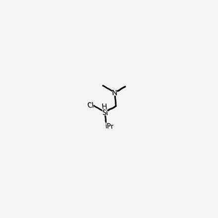 CC(C)[SiH](Cl)CN(C)C